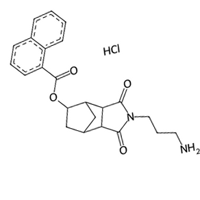 Cl.NCCCN1C(=O)C2C3CC(OC(=O)c4cccc5ccccc45)C(C3)C2C1=O